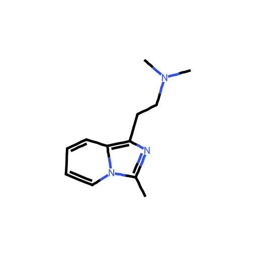 Cc1nc(CCN(C)C)c2ccccn12